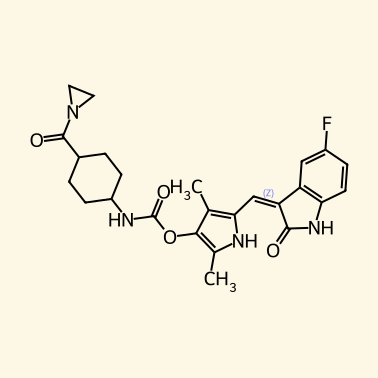 Cc1[nH]c(/C=C2\C(=O)Nc3ccc(F)cc32)c(C)c1OC(=O)NC1CCC(C(=O)N2CC2)CC1